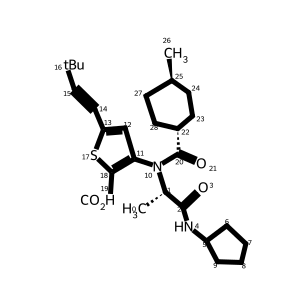 C[C@@H](C(=O)NC1CCCC1)N(c1cc(C#CC(C)(C)C)sc1C(=O)O)C(=O)[C@H]1CC[C@H](C)CC1